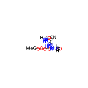 COCCOCCOCCOCCCOc1nn(C2CCC(N3[C@@H]4CC[C@H]3COC4)CC2)cc1Nc1ncc(-c2ccc(C#N)c(O[C@@H](C)Cn3cnnn3)c2)cn1